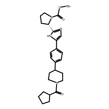 CC(C)(C)OC(=O)N1CCC[C@H]1c1ncc(-c2ccc(C3CCN(C(=O)C4CCCC4)CC3)cc2)[nH]1